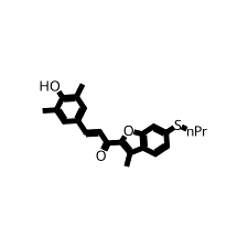 CCCSc1ccc2c(C)c(C(=O)/C=C/c3cc(C)c(O)c(C)c3)oc2c1